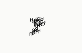 C[C@H]1COCCN1c1cc(C2(CCC(C)(C)O)C(=S(=O)=O)C2I)nc(-c2ccc(NC(=O)NCC(F)F)cc2)n1